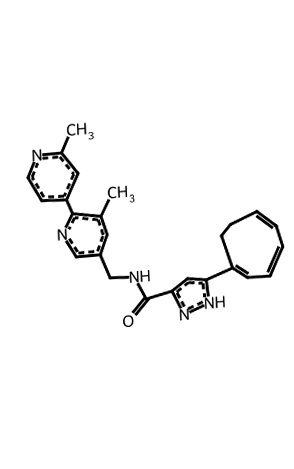 Cc1cc(-c2ncc(CNC(=O)c3cc(/C4=C/C=C\C=C/CC4)[nH]n3)cc2C)ccn1